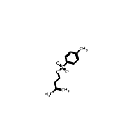 C=C(C)CCOS(=O)(=O)c1ccc(C)cc1